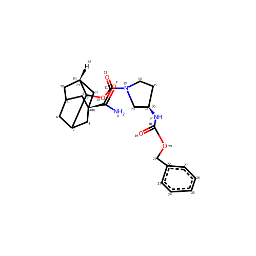 NC(=O)[C@]12CC3CC(C1)C(OC(=O)N1CC[C@@H](NC(=O)OCc4ccccc4)C1)[C@H](C3)C2